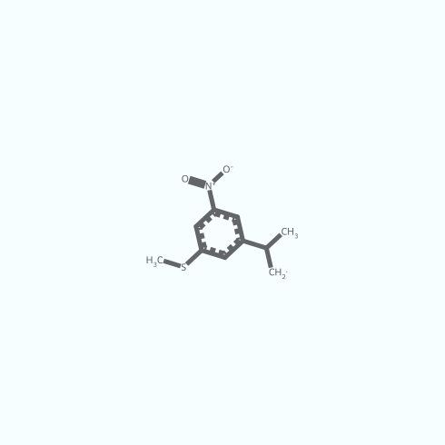 [CH2]C(C)c1cc(SC)cc([N+](=O)[O-])c1